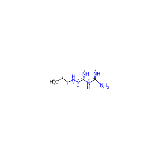 CCCNNC(=N)NC(=N)N